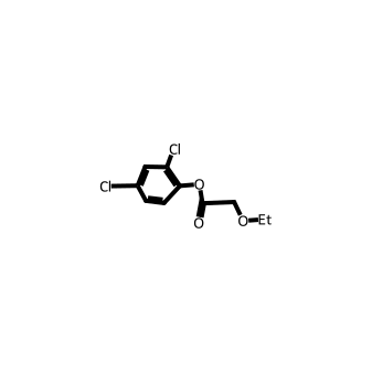 CCOCC(=O)Oc1ccc(Cl)cc1Cl